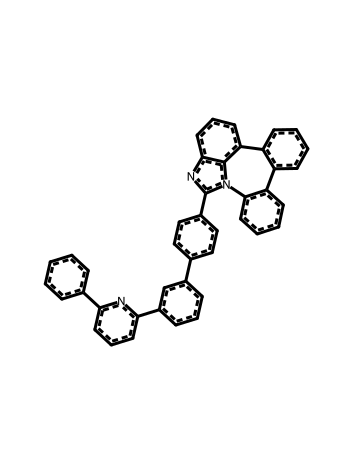 c1ccc(-c2cccc(-c3cccc(-c4ccc(-c5nc6cccc7c6n5-c5ccccc5-c5ccccc5-7)cc4)c3)n2)cc1